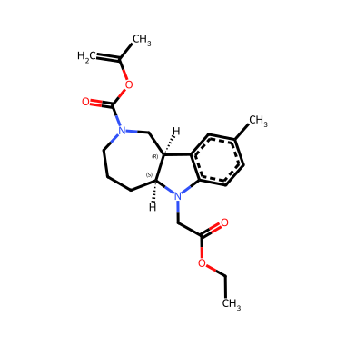 C=C(C)OC(=O)N1CCC[C@H]2[C@@H](C1)c1cc(C)ccc1N2CC(=O)OCC